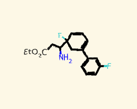 CCOC(=O)CC(N)C1(F)C=CC=C(c2cccc(F)c2)C1